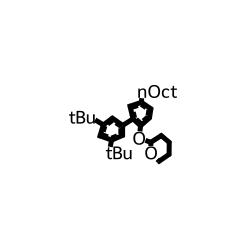 CCCCCCCCc1ccc(OC2CCCCO2)c(-c2cc(C(C)(C)C)cc(C(C)(C)C)c2)c1